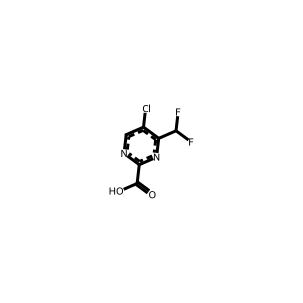 O=C(O)c1ncc(Cl)c(C(F)F)n1